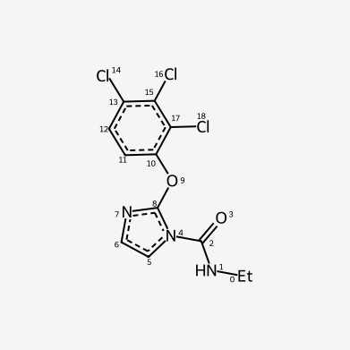 CCNC(=O)n1ccnc1Oc1ccc(Cl)c(Cl)c1Cl